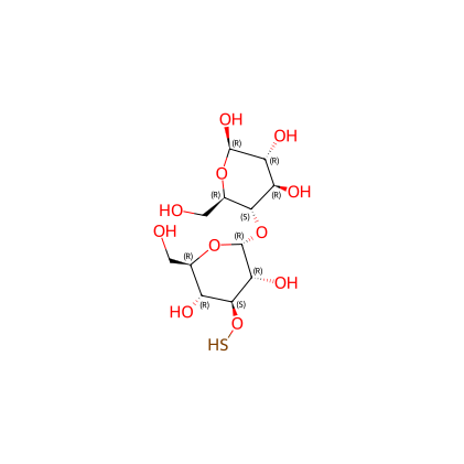 OC[C@H]1O[C@H](O[C@H]2[C@H](O)[C@@H](O)[C@H](O)O[C@@H]2CO)[C@H](O)[C@@H](OS)[C@@H]1O